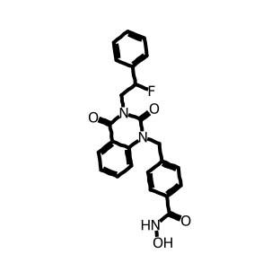 O=C(NO)c1ccc(Cn2c(=O)n(CC(F)c3ccccc3)c(=O)c3ccccc32)cc1